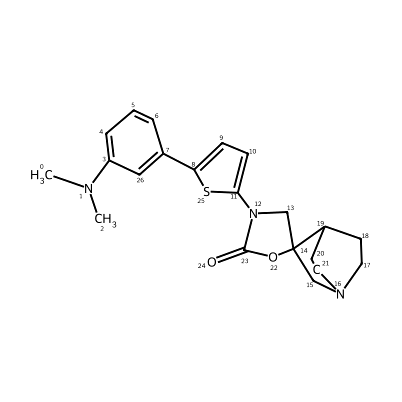 CN(C)c1cccc(-c2ccc(N3CC4(CN5CCC4CC5)OC3=O)s2)c1